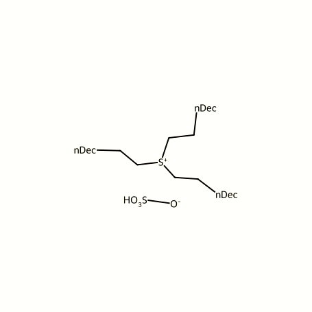 CCCCCCCCCCCC[S+](CCCCCCCCCCCC)CCCCCCCCCCCC.O=S(=O)([O-])O